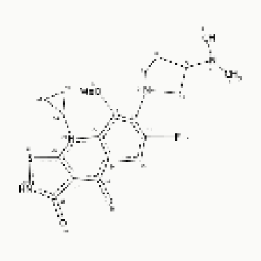 COc1c(N2CCC(N(C)C)C2)c(F)cc2c(=O)c3c(=O)[nH]sc3n(C3CC3)c12